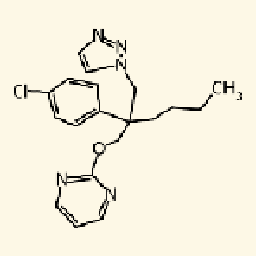 CCCCC(COc1ncccn1)(Cn1ccnn1)c1ccc(Cl)cc1